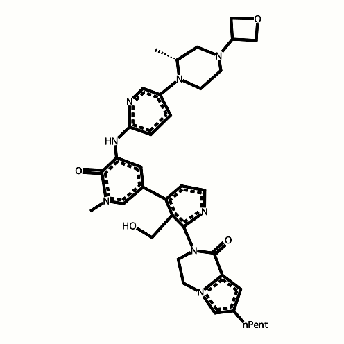 CCCCCc1cc2n(c1)CCN(c1nccc(-c3cc(Nc4ccc(N5CCN(C6COC6)C[C@H]5C)cn4)c(=O)n(C)c3)c1CO)C2=O